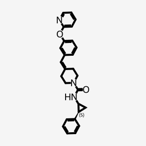 O=C(NC1C[C@H]1c1ccccc1)N1CCC(=Cc2cccc(Oc3ccccn3)c2)CC1